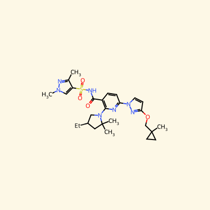 CCC1CN(c2nc(-n3ccc(OCC4(C)CC4)n3)ccc2C(=O)NS(=O)(=O)c2cn(C)nc2C)C(C)(C)C1